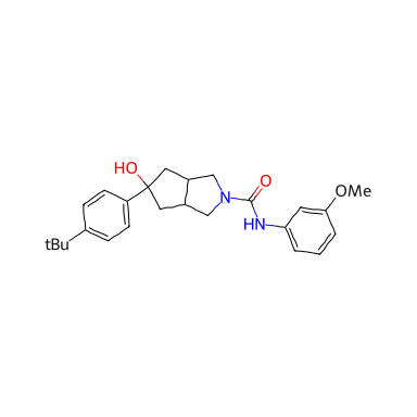 COc1cccc(NC(=O)N2CC3CC(O)(c4ccc(C(C)(C)C)cc4)CC3C2)c1